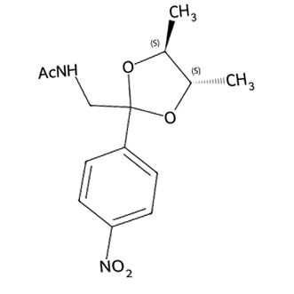 CC(=O)NCC1(c2ccc([N+](=O)[O-])cc2)O[C@@H](C)[C@H](C)O1